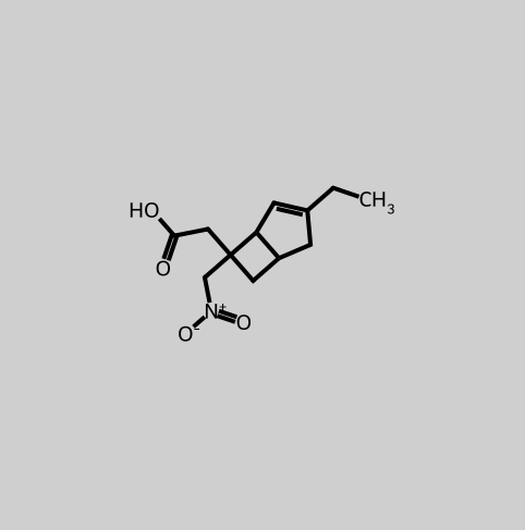 CCC1=CC2C(C1)CC2(CC(=O)O)C[N+](=O)[O-]